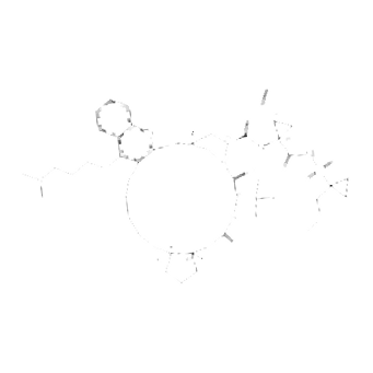 C=C[C@@H]1C[C@]1(NC(=O)[C@@H]1C[C@@H]2CN1C(=O)[C@H](C(C)(C)C)NC(=O)O[C@@H]1CCC[C@H]1CCCCCc1c(nc3ccccc3c1OCCCN(C)C)O2)C(=O)NS(=O)(=O)C1(COC)CC1